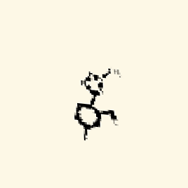 Cn1nnc(-c2ccc(F)cc2C=O)n1